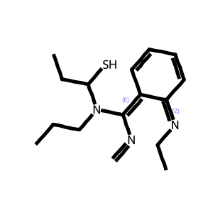 C=N/C(=C1/C=CC=C/C1=N/CC)N(CCC)C(S)CC